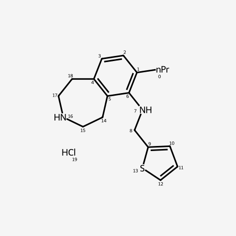 CCCc1ccc2c(c1NCc1cccs1)CCNCC2.Cl